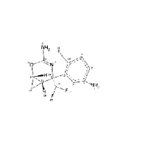 NC1=N[C@](c2cc(N)ccc2F)(C(F)F)[C@@H]2C[C@@H]2O1